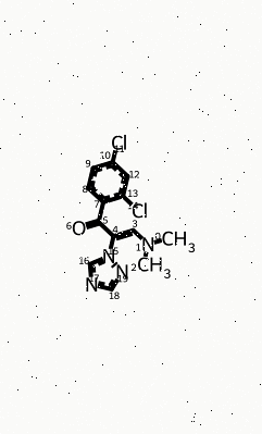 CN(C)C=C(C(=O)c1ccc(Cl)cc1Cl)n1cncn1